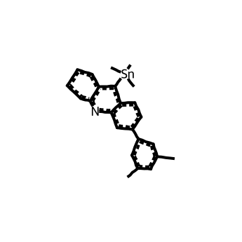 Cc1cc(C)cc(-c2ccc3[c]([Sn]([CH3])([CH3])[CH3])c4ccccc4nc3c2)c1